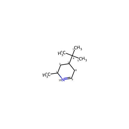 CC1CC(C(C)(C)C)CC=N1